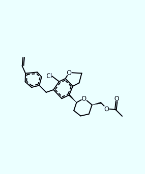 C=Cc1ccc(Cc2cc([C@@H]3CCC[C@H](COC(C)=O)O3)c3c(c2Cl)OCC3)cc1